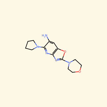 Nc1cc2oc(N3CCOCC3)nc2nc1N1CCCC1